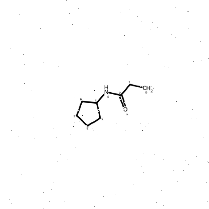 [CH2]CC(=O)NC1CCCC1